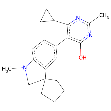 Cc1nc(O)c(-c2ccc3c(c2)C2(CCCC2)CN3C)c(C2CC2)n1